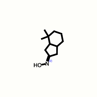 CC1(C)CCCC2C/C(=N/O)CC21